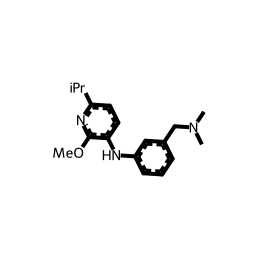 COc1nc(C(C)C)ccc1Nc1cccc(CN(C)C)c1